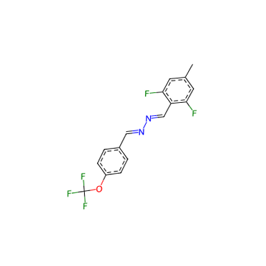 Cc1cc(F)c(C=NN=Cc2ccc(OC(F)(F)F)cc2)c(F)c1